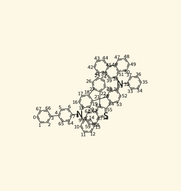 c1ccc(-c2ccc(N(c3ccccc3)c3ccc4c(c3)C3(c5ccccc5-4)c4cc(N(c5ccccc5)c5cc6ccccc6c6ccccc56)ccc4-c4sc5ccccc5c43)cc2)cc1